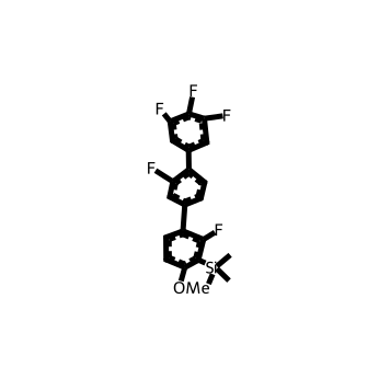 COc1ccc(-c2ccc(-c3cc(F)c(F)c(F)c3)c(F)c2)c(F)c1[Si](C)(C)C